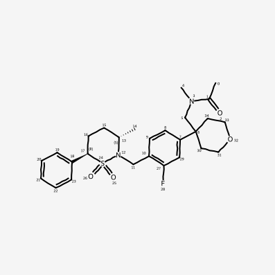 CC(=O)N(C)CC1(c2ccc(CN3[C@@H](C)CC[C@H](c4ccccc4)S3(=O)=O)c(F)c2)CCOCC1